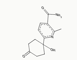 Cc1nc(C2(O)CCC(=O)CC2)ccc1C(N)=O